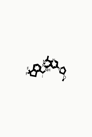 CO[C@H]1CCN(c2cnc3c(C)nnc(N[C@H](C)c4cccc5c4CCC5(F)F)c3c2)C1